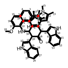 COc1ccccc1NC(c1cc(C)n(C)n1)C(C(=O)C(c1c[nH]c2ccccc12)C(Nc1ccccc1OC)c1cc(C)n(C)n1)c1c[nH]c2ccccc12